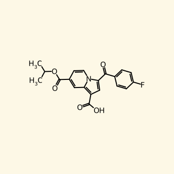 CC(C)OC(=O)c1ccn2c(C(=O)c3ccc(F)cc3)cc(C(=O)O)c2c1